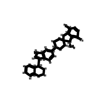 N[C@H]1c2c(F)ccc(F)c2CC12CCN(c1cnc3c(N4CCCc5ncccc54)n[nH]c3n1)CC2